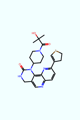 CC(C)(O)C(=O)N1CCC(N2C(=O)NCc3cnc4ccc(C5=CSCC5)nc4c32)CC1